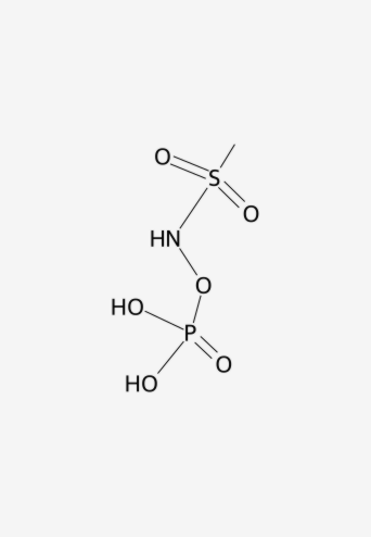 CS(=O)(=O)NOP(=O)(O)O